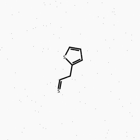 S=[C]Cc1cccs1